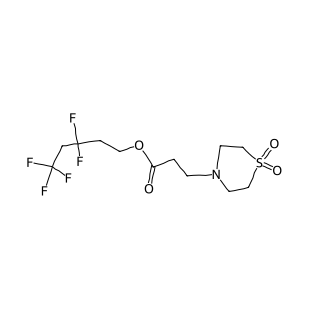 O=C(CCN1CCS(=O)(=O)CC1)OCCC(F)(F)CC(F)(F)F